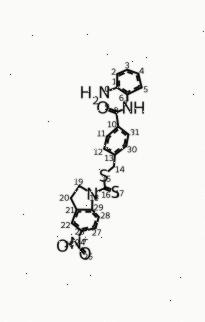 Nc1ccccc1NC(=O)c1ccc(CSC(=S)N2CCc3cc([N+](=O)[O-])ccc32)cc1